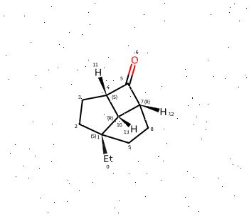 CC[C@]12CC[C@@H]3C(=O)[C@H](CC1)[C@@H]32